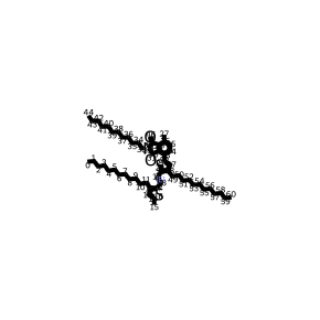 CCCCCCCCCCCCc1cc(C)sc1/C=C/c1sc(-c2ccc(C)c3c2C(=O)N(CCCCCCCCCCCC)C3=O)cc1CCCCCCCCCCCC